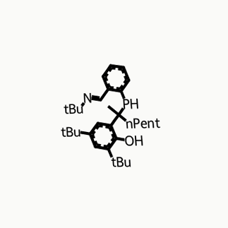 CCCCCC(C)(Pc1ccccc1/C=N/C(C)(C)C)c1cc(C(C)(C)C)cc(C(C)(C)C)c1O